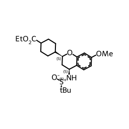 CCOC(=O)C1CCC([C@@H]2C[C@H](N[S@+]([O-])C(C)(C)C)c3ccc(OC)cc3O2)CC1